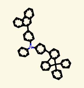 c1ccc(N(c2ccc(-c3cccc4c3-c3ccccc3C4(c3ccccc3)c3ccccc3)cc2)c2ccc(-c3cc4ccccc4c4ccccc34)cc2)cc1